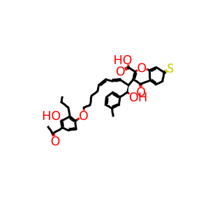 CCCc1c(OCCCC/C=C\C=C\[C@@H](c2c(C(=O)O)oc3c(c2=O)=CCC(=S)C=3)C(O)c2cccc(C)c2)ccc(C(C)=O)c1O